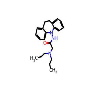 CCCN(CCC)CC(=O)NN1c2ccccc2CCc2ccccc21